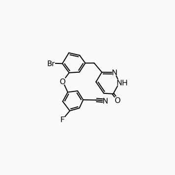 N#Cc1cc(F)cc(Oc2cc(Cc3ccc(=O)[nH]n3)ccc2Br)c1